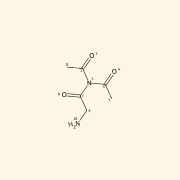 CC(=O)N(C(C)=O)C(=O)CN